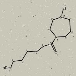 CCCCCCCCCCCCCCCC(=O)N1CCCN(CC)CC1